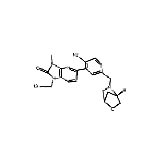 Cn1c(=O)n(CC(C)(C)C)c2ccc(-c3cc(CN4CC5C[C@H]4CO5)ccc3C#N)nc21